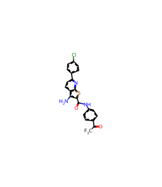 Nc1c(C(=O)Nc2ccc(C(=O)C(F)(F)F)cc2)sc2nc(-c3ccc(Cl)cc3)ccc12